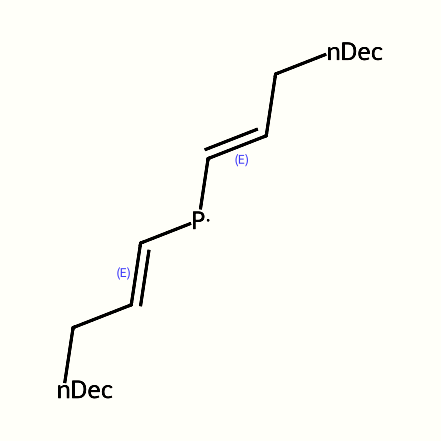 CCCCCCCCCCC/C=C/[P]/C=C/CCCCCCCCCCC